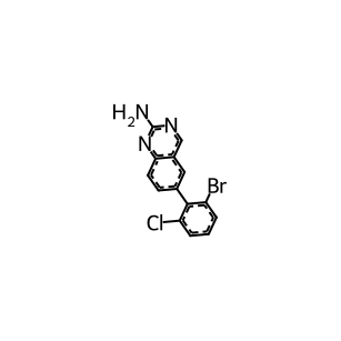 Nc1ncc2cc(-c3c(Cl)cccc3Br)ccc2n1